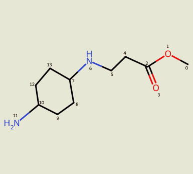 COC(=O)CCNC1CCC(N)CC1